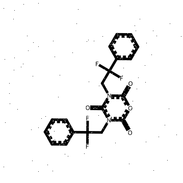 O=c1oc(=O)n(CC(F)(F)c2ccccc2)c(=O)n1CC(F)(F)c1ccccc1